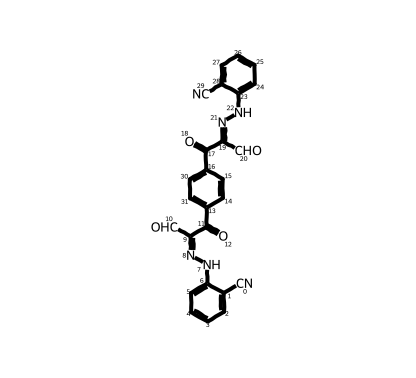 N#Cc1ccccc1N/N=C(/C=O)C(=O)c1ccc(C(=O)/C(C=O)=N/Nc2ccccc2C#N)cc1